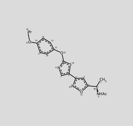 CC(=O)N[C@H](C)c1cc(-c2cnc(Oc3ccc(OC(C)C)cc3)s2)no1